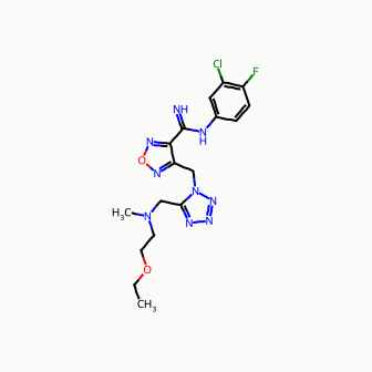 CCOCCN(C)Cc1nnnn1Cc1nonc1C(=N)Nc1ccc(F)c(Cl)c1